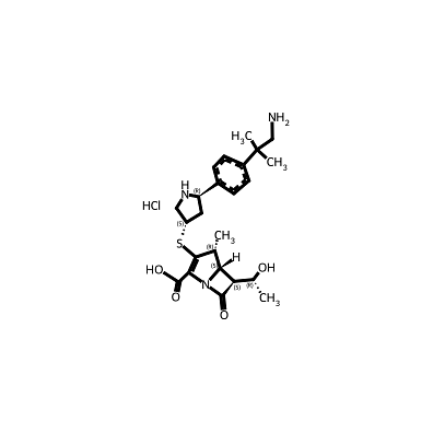 C[C@@H](O)[C@H]1C(=O)N2C(C(=O)O)=C(S[C@@H]3CN[C@@H](c4ccc(C(C)(C)CN)cc4)C3)[C@H](C)[C@H]12.Cl